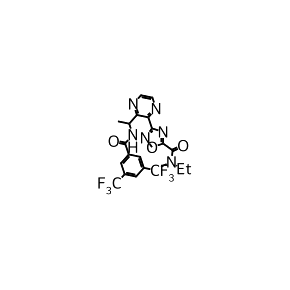 CCN(C)C(=O)c1nc(-c2nccnc2C(C)NC(=O)c2cc(C(F)(F)F)cc(C(F)(F)F)c2)no1